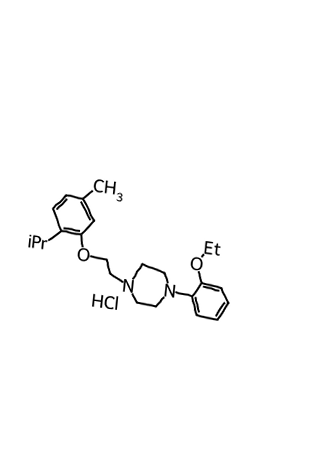 CCOc1ccccc1N1CCN(CCOc2cc(C)ccc2C(C)C)CC1.Cl